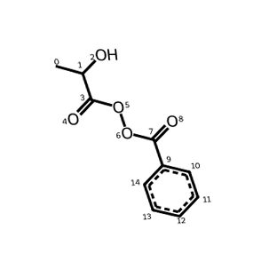 CC(O)C(=O)OOC(=O)c1ccccc1